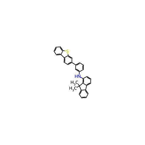 CC1(C)c2ccccc2-c2cccc(Nc3cccc(-c4ccc5c(c4)sc4ccccc45)c3)c21